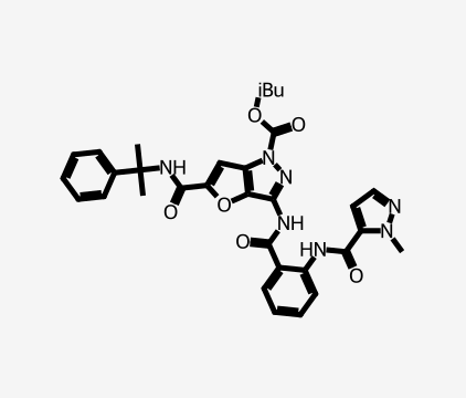 CCC(C)OC(=O)n1nc(NC(=O)c2ccccc2NC(=O)c2ccnn2C)c2oc(C(=O)NC(C)(C)c3ccccc3)cc21